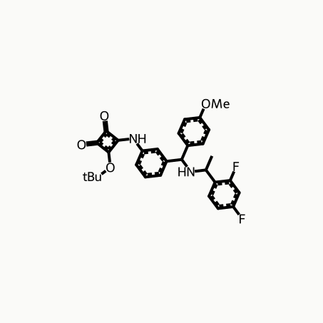 COc1ccc(C(NC(C)c2ccc(F)cc2F)c2cccc(Nc3c(OC(C)(C)C)c(=O)c3=O)c2)cc1